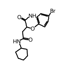 NC(=O)C(CC(=O)NC1CCCCC1)Oc1ccc(Br)cc1